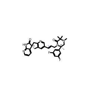 CN1C[C@@](C)(c2cc(F)cc(F)c2)N(C/C=C/c2cnc3c(c2)C[C@@]2(C3)C(=O)Nc3ncccc32)C(=O)C1(C)C